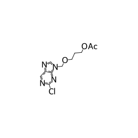 CC(=O)OCCCOCn1cnc2cnc(Cl)nc21